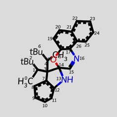 CC(C(C)(C)C)C1(C(C)C(C)(C)C)c2ccccc2NC12C=Nc1c(ccc3ccccc13)O2